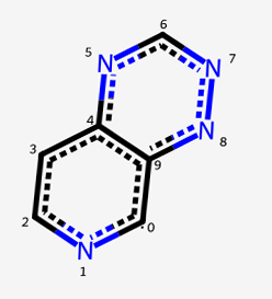 [c]1nccc2ncnnc12